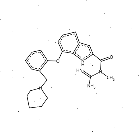 CN(C(=N)N)C(=O)c1cc2cccc(Oc3ccccc3CN3CCCCC3)c2[nH]1